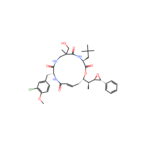 COc1ccc(C[C@H]2NC(=O)/C=C/C[C@@H]([C@H](C)[C@H]3O[C@@H]3c3ccccc3)OC(=O)[C@H](CC(C)(C)C)NC(=O)C(C)(CO)CNC2=O)cc1Cl